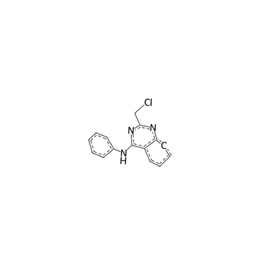 ClCc1nc(Nc2ccccc2)c2ccccc2n1